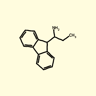 CCC(N)C1c2ccccc2-c2ccccc21